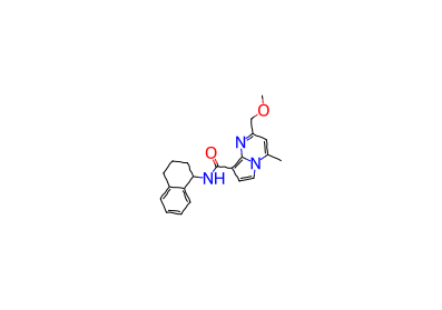 COCc1cc(C)n2ccc(C(=O)NC3CCCc4ccccc43)c2n1